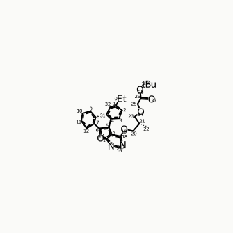 CCc1ccc(-c2c(-c3ccccc3)oc3ncnc(OC[C@@H](C)COCC(=O)OC(C)(C)C)c23)cc1